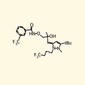 CN1C(C(C)(C)C)=CC(=CC(C)(O)CONC(=O)c2cccc(C(F)(F)F)c2)N1CCCC(F)(F)F